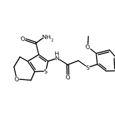 COc1ccccc1SCC(=O)Nc1sc2c(c1C(N)=O)CCOC2